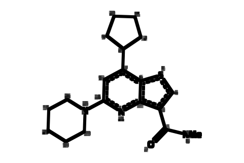 CNC(=O)c1csc2c(C3CCCC3)cc(N3CC[CH]CC3)nc12